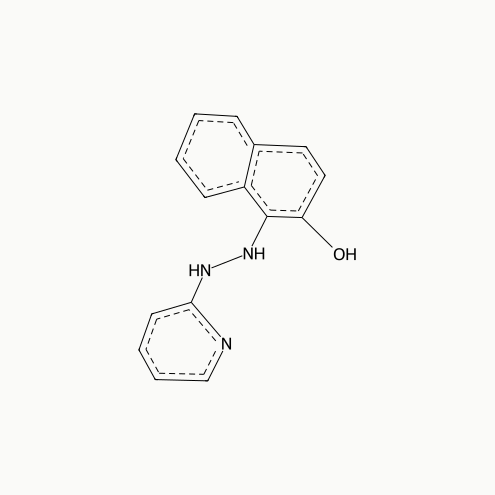 Oc1ccc2ccccc2c1NNc1ccccn1